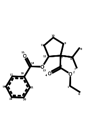 CCOC(=O)C1(C(C)C)CCCC1OC(=O)c1ccccc1